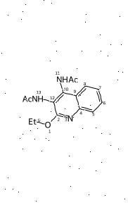 CCOc1nc2ccccc2c(NC(C)=O)c1NC(C)=O